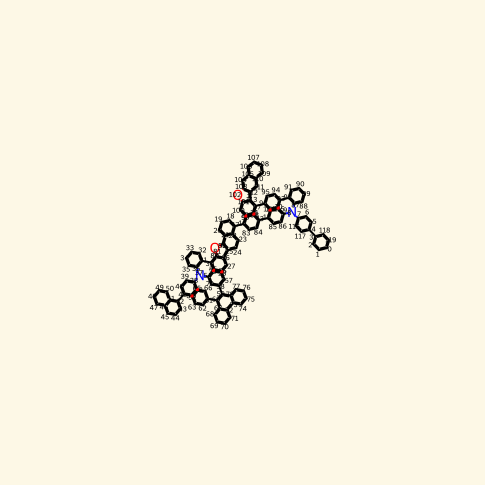 c1ccc(-c2ccc(N(c3ccc(-c4ccc(-c5cccc6c5ccc5c7cccc(-c8ccccc8N(c8ccc(-c9cccc%10ccccc9%10)cc8)c8cccc(-c9c(-c%10ccccc%10)c%10ccccc%10c%10ccccc9%10)c8)c7oc65)cc4)cc3)c3ccccc3-c3ccc(-c4cccc5oc6cc7ccccc7cc6c45)cc3)cc2)cc1